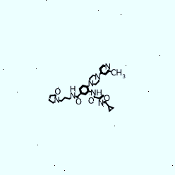 Cc1cc(N2CCN(c3ccc(C(=O)NCCCN4CCCC4=O)cc3NC(=O)c3coc(C4CC4)n3)CC2)ccn1